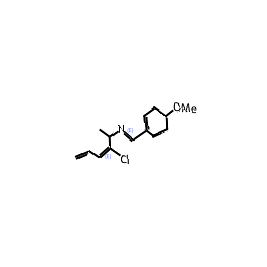 C=C/C=C(/Cl)C(C)/N=C/C1=CCC(OC)CC1